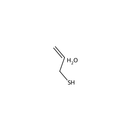 C=CCS.O